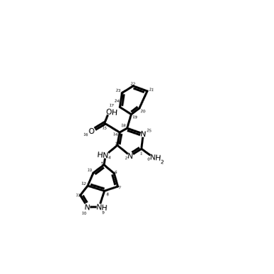 Nc1nc(Nc2ccc3[nH]ncc3c2)c(C(=O)O)c(-c2ccccc2)n1